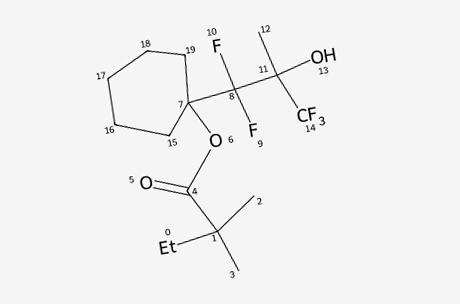 CCC(C)(C)C(=O)OC1(C(F)(F)C(C)(O)C(F)(F)F)CCCCC1